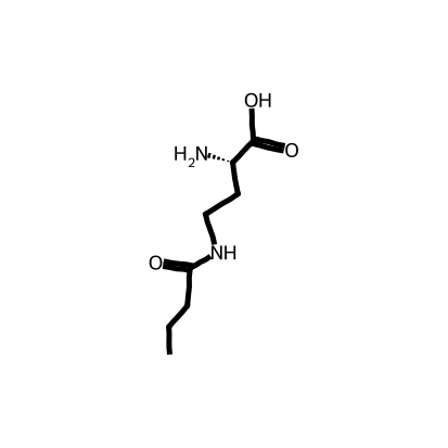 CCCC(=O)NCC[C@H](N)C(=O)O